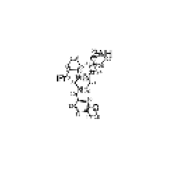 CC(C)c1ccccc1[C@@H]1CN(Cc2ccc3c(c2)OCC3)CCN1C1CC2(CCNCC2)C1